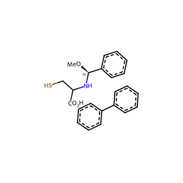 CO[C@H](NC(CS)C(=O)O)c1ccccc1.c1ccc(-c2ccccc2)cc1